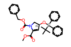 COC(=O)C1=C[C@H](O[Si](c2ccccc2)(c2ccccc2)C(C)(C)C)CN1C(=O)OCc1ccccc1